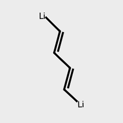 [Li][CH]=CC=[CH][Li]